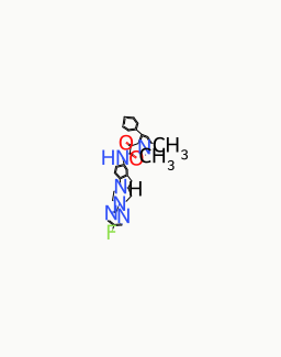 Cc1cc(-c2ccccc2)c(C(=O)C(=O)Nc2ccc3c(c2)C[C@@H]2CCN(c4ncc(F)cn4)CCN32)n1C